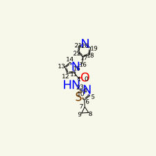 O=C(Nc1ncc(C2CC2)s1)c1cccn1Cc1ccncc1